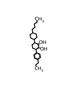 CCCCCC1CCC(C2CCC(c3ccc(CCC)cc3)[C@@H](O)[C@@H]2O)CC1